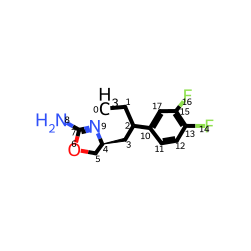 CCC(C[C@H]1COC(N)=N1)c1ccc(F)c(F)c1